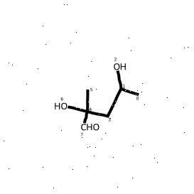 CC(O)CC(C)(O)C=O